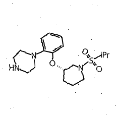 CC(C)S(=O)(=O)N1CCC[C@H](Oc2ccccc2N2CCNCC2)C1